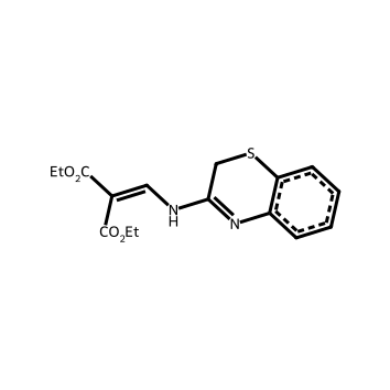 CCOC(=O)C(=CNC1=Nc2ccccc2SC1)C(=O)OCC